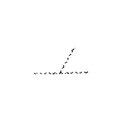 O=C(O)CCOCCOCCOCCNC(=O)CCOC=C(COCCC(=O)NCCOCCOCCOCCC(=O)O)COCCC(=O)NCCOCCOCCOCCC(=O)O